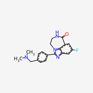 CN(C)Cc1ccc(-c2nc3cc(F)cc4c3n2CCNC4=O)cc1